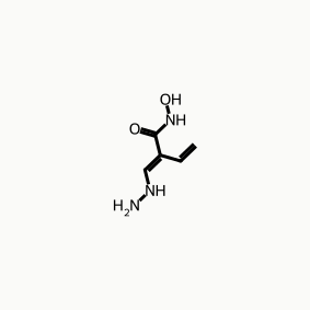 C=C/C(=C\NN)C(=O)NO